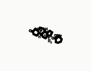 COC1(O[C@H]2CC[C@H]3[C@@H]4CCC5=CC(=O)CC[C@]5(CO)[C@H]4CC[C@]23C)CCCCC1